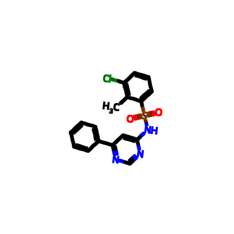 Cc1c(Cl)cccc1S(=O)(=O)Nc1cc(-c2ccccc2)ncn1